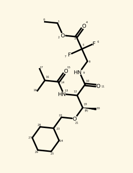 CCOC(=O)C(F)(F)CNC(=O)C(NC(=O)C(C)C)[C@@H](C)OCC1CCCCC1